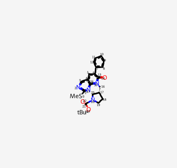 CSc1ncc2cc(-c3ccccc3)c(=O)n(C[C@@H]3CCN(C(=O)OC(C)(C)C)C3)c2n1